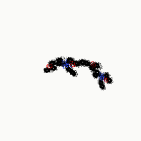 c1ccc(-c2cccc3c2oc2cccc(-c4ccc(-c5nc(-c6ccc7ccccc7c6)nc(-c6cccc7c6oc6ccc(-c8ccc9ccc(-c%10ccc(-c%11ccc(-c%12nc(-c%13ccc%14ccccc%14c%13)nc(-c%13cccc%14c%13oc%13ccccc%13%14)n%12)c%12ccccc%11%12)c%11c%10oc%10ccccc%10%11)cc9c8)cc67)n5)c5ccccc45)c23)cc1